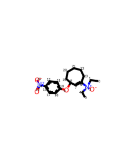 CC[N+]([O-])(CC)/C1=C/C(Oc2ccc([N+](=O)[O-])cc2)CCCCC1